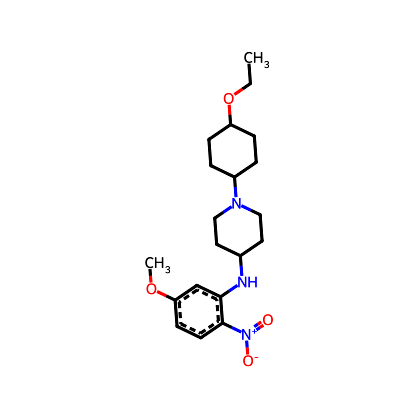 CCOC1CCC(N2CCC(Nc3cc(OC)ccc3[N+](=O)[O-])CC2)CC1